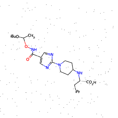 CC(C)COC(C)ONC(=O)c1cnc(N2CCC(N[C@@H](CC(C)C)C(=O)O)CC2)nc1